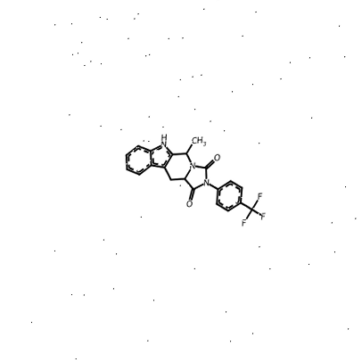 CC1c2[nH]c3ccccc3c2CC2C(=O)N(c3ccc(C(F)(F)F)cc3)C(=O)N21